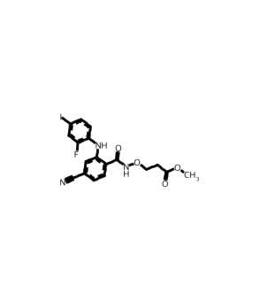 COC(=O)CCONC(=O)c1ccc(C#N)cc1Nc1ccc(I)cc1F